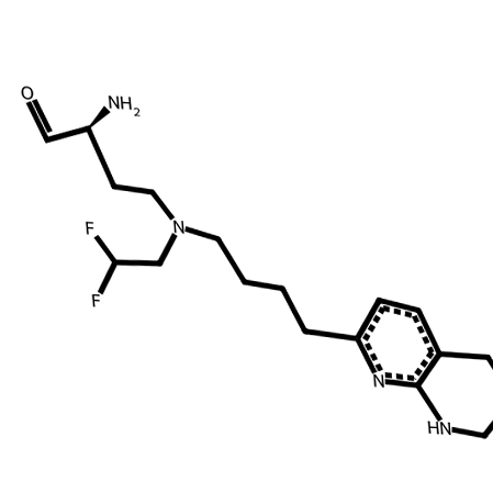 N[C@H](C=O)CCN(CCCCc1ccc2c(n1)NCCC2)CC(F)F